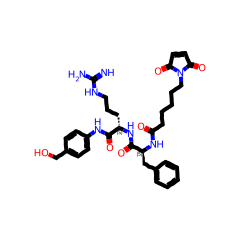 N=C(N)NCCC[C@H](NC(=O)[C@H](Cc1ccccc1)NC(=O)CCCCCN1C(=O)C=CC1=O)C(=O)Nc1ccc(CO)cc1